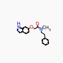 CN(CCc1ccccc1)C(=O)COc1ccc2cc[nH]c2c1